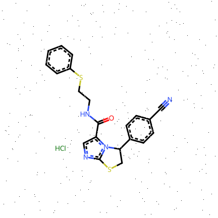 Cl.N#Cc1ccc(C2CSc3ncc(C(=O)NCCSc4ccccc4)n32)cc1